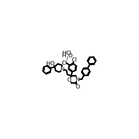 Cl.O.O=C1COC(CCN2CCC(O)(c3ccccc3)CC2)(c2ccc(Cl)c(Cl)c2)CN1Cc1ccc(-c2ccccc2)cc1